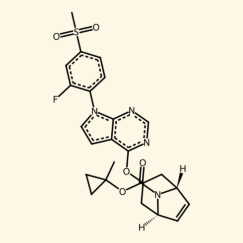 CC1(OC(=O)N2[C@H]3C=C[C@H]2CC(Oc2ncnc4c2ccn4-c2ccc(S(C)(=O)=O)cc2F)C3)CC1